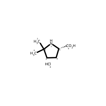 CC1(C)CC[C@@H](C(=O)O)N1.Cl